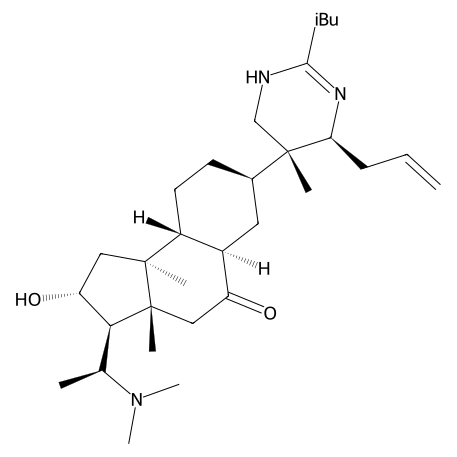 C=CC[C@@H]1N=C(C(C)CC)NC[C@@]1(C)[C@@H]1CC[C@@H]2[C@@H](C1)C(=O)C[C@]1(C)[C@@H]([C@H](C)N(C)C)[C@H](O)C[C@@]21C